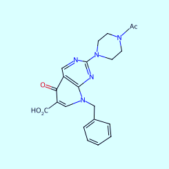 CC(=O)N1CCN(c2ncc3c(=O)c(C(=O)O)cn(Cc4ccccc4)c3n2)CC1